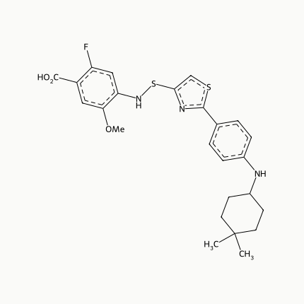 COc1cc(C(=O)O)c(F)cc1NSc1csc(-c2ccc(NC3CCC(C)(C)CC3)cc2)n1